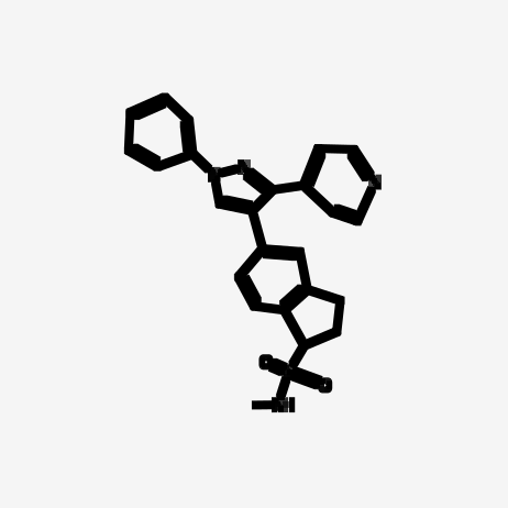 CNS(=O)(=O)C1CCc2cc(-c3cn(-c4ccccc4)nc3-c3ccncc3)ccc21